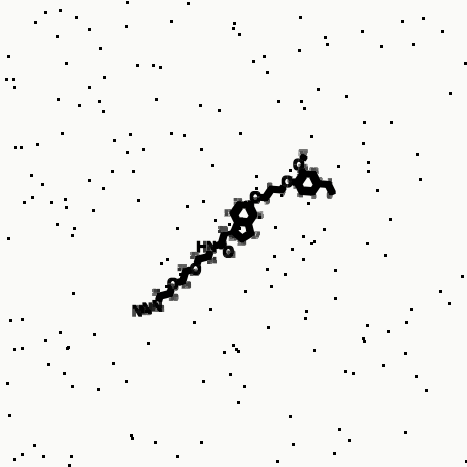 CCc1ccc(OCCCOc2ccc3c(c2)CC[C@H]3CC(=O)NCCOCCOCCN=[N+]=[N-])c(OC)c1